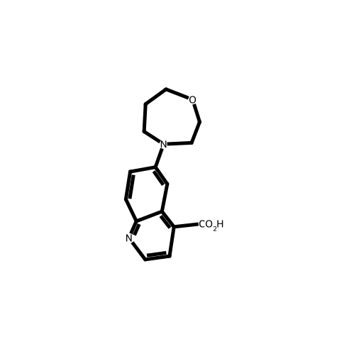 O=C(O)c1ccnc2ccc(N3CCCOCC3)cc12